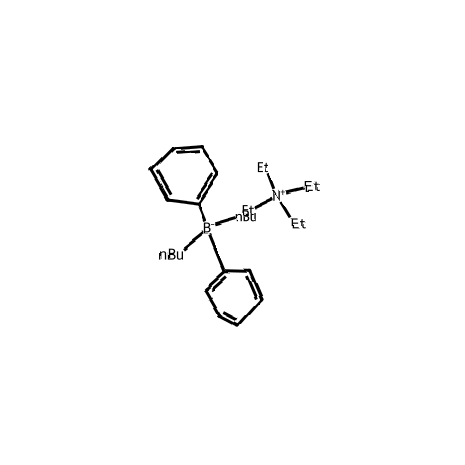 CCCC[B-](CCCC)(c1ccccc1)c1ccccc1.CC[N+](CC)(CC)CC